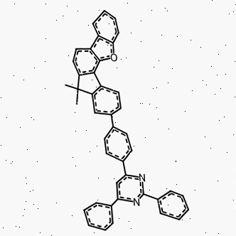 CC1(C)c2cc(-c3ccc(-c4cc(-c5ccccc5)nc(-c5ccccc5)n4)cc3)ccc2-c2c1ccc1c2oc2ccccc21